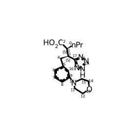 CCC[C@H](C(=O)O)[C@H](Cc1cccc(N2CCOCC2)c1)c1nn[nH]n1